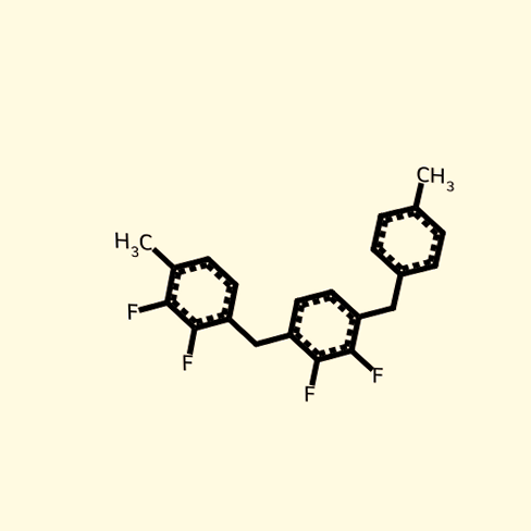 Cc1ccc(Cc2ccc(Cc3ccc(C)c(F)c3F)c(F)c2F)cc1